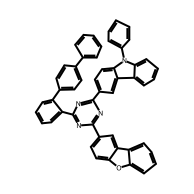 c1ccc(-c2ccc(-c3ccccc3-c3nc(-c4ccc5oc6ccccc6c5c4)nc(-c4ccc5c(c4)c4ccccc4n5-c4ccccc4)n3)cc2)cc1